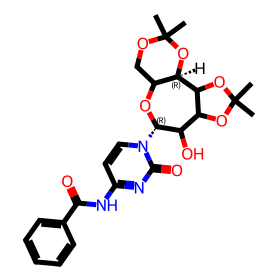 CC1(C)OC2C(O1)[C@@H]1OC(C)(C)OCC1O[C@@H](n1ccc(NC(=O)c3ccccc3)nc1=O)C2O